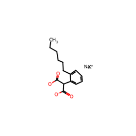 CCCCCCc1ccccc1C(C(=O)[O-])C(=O)[O-].[K+].[Na+]